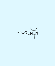 CCCOCn1c(C)nc(C)c1C